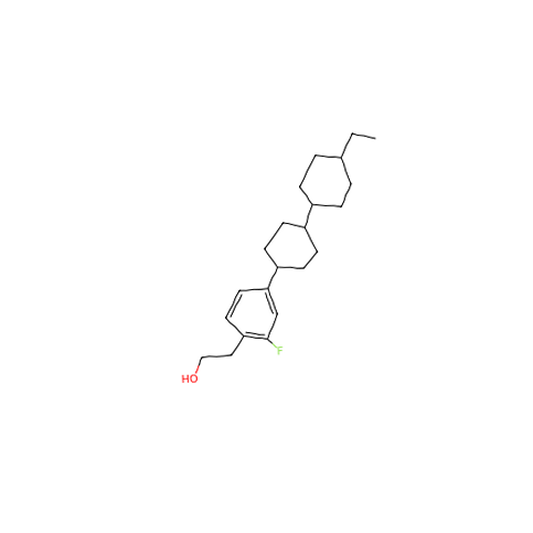 CCC1CCC(C2CCC(c3ccc(CCO)c(F)c3)CC2)CC1